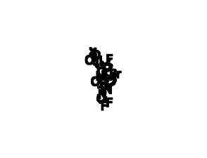 Cc1c(N2CCCC(F)(F)C2)nc2ccc(Br)cc2c1C(=O)NCC(CCC(=O)OC(C)(C)C)c1c(F)ccc(F)c1Cl